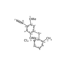 COc1cc(Sc2ccccc2C)c(OC)cc1[N+]#N.[Cl-]